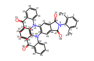 CC(C)c1cccc(C(C)C)c1N1C(=O)c2cc(-n3c4ccccc4c(=O)c4ccccc43)c(-n3c4ccccc4c(=O)c4ccccc43)cc2C1=O